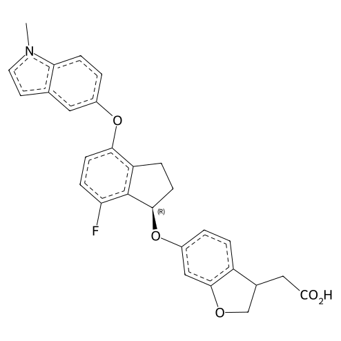 Cn1ccc2cc(Oc3ccc(F)c4c3CC[C@H]4Oc3ccc4c(c3)OCC4CC(=O)O)ccc21